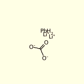 O=C([O-])[O-].[Li+].[Li+].[PbH2]